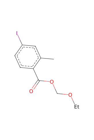 CCOCOC(=O)c1ccc(I)cc1C